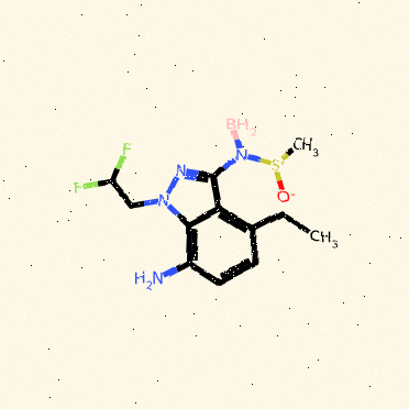 BN(c1nn(CC(F)F)c2c(N)ccc(CC)c12)[S+](C)[O-]